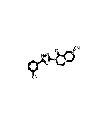 N#Cc1cccc(-c2nnc(N3CCN4CCN(C#N)CC4C3=O)o2)c1